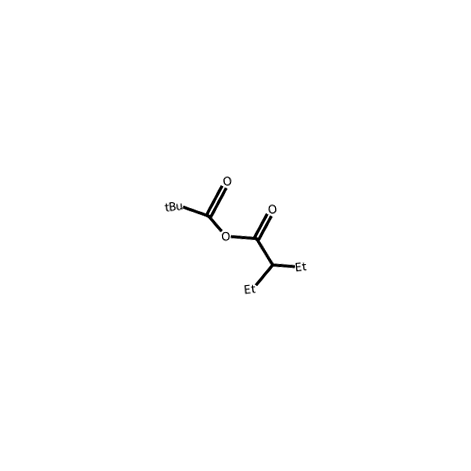 CCC(CC)C(=O)OC(=O)C(C)(C)C